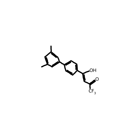 Cc1cc(C)cc(-c2ccc(C(O)=CC(=O)C(F)(F)F)cc2)c1